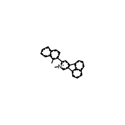 Cc1c(-c2cc3c(c[n+]2C)-c2cccc4cccc-3c24)ccc2ccccc12